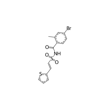 Cc1cc(Br)ccc1C(=O)NS(=O)(=O)/C=C/c1cccs1